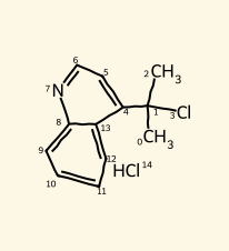 CC(C)(Cl)c1ccnc2ccccc12.Cl